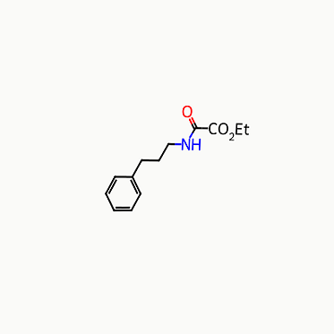 CCOC(=O)C(=O)NCCCc1ccccc1